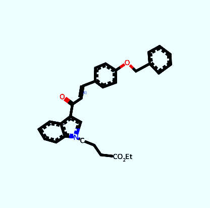 CCOC(=O)CCCn1cc(C(=O)/C=C/c2ccc(OCc3ccccc3)cc2)c2ccccc21